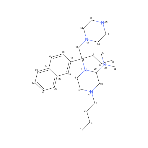 CCCCN1CCN(C(CCC)(CN2CC[N]CC2)c2ccc3ccccc3c2)C(N(C)C)C1